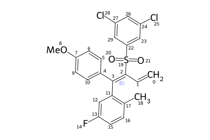 C=C/C(=C(/c1ccc(OC)cc1)c1cc(F)ccc1C)S(=O)(=O)c1cc(Cl)cc(Cl)c1